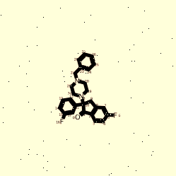 O=C1c2ccc(F)cc2CC1(c1cccc(F)c1)N1CCN(Cc2ccccc2)CC1